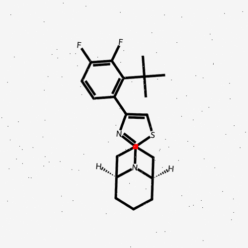 CC(C)(C)c1c(-c2csc(N3[C@H]4CCC[C@@H]3CCC4)n2)ccc(F)c1F